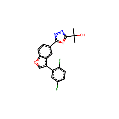 CC(C)(O)c1nnc(-c2ccc3occ(-c4cc(F)ccc4F)c3c2)o1